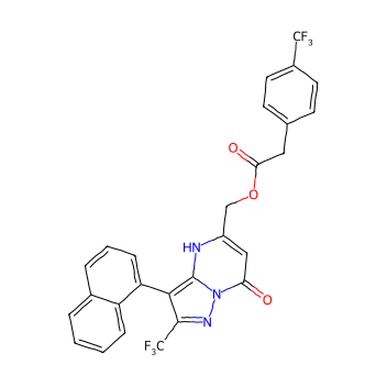 O=C(Cc1ccc(C(F)(F)F)cc1)OCc1cc(=O)n2nc(C(F)(F)F)c(-c3cccc4ccccc34)c2[nH]1